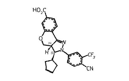 N#Cc1ccc(N2N=C3c4ccc(C(=O)O)cc4OC[C@H]3[C@@H]2C2CCCC2)cc1C(F)(F)F